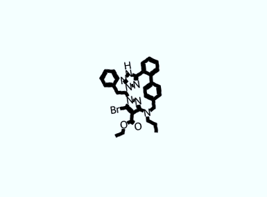 CCCN(Cc1ccc(-c2ccccc2-c2nnn[nH]2)cc1)c1nn(CCc2ccccc2)c(Br)c1C(=O)OCC